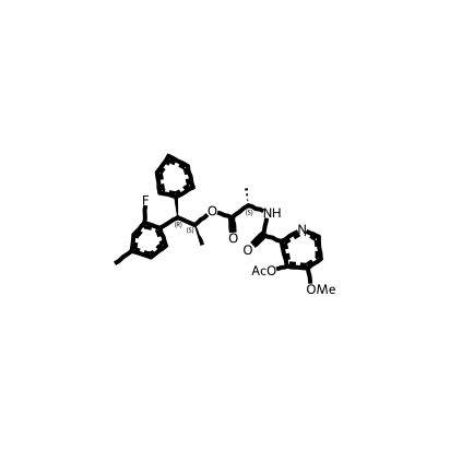 COc1ccnc(C(=O)N[C@@H](C)C(=O)O[C@@H](C)[C@H](c2ccccc2)c2ccc(C)cc2F)c1OC(C)=O